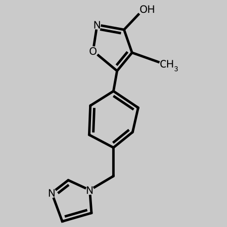 Cc1c(O)noc1-c1ccc(Cn2ccnc2)cc1